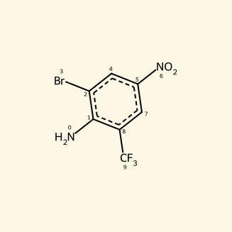 Nc1c(Br)cc([N+](=O)[O-])cc1C(F)(F)F